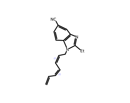 C=C/C=C\C=C/Cn1c(CC)nc2cc(C#N)ccc21